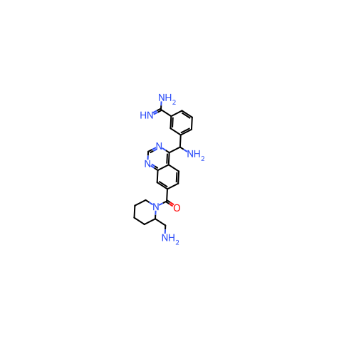 N=C(N)c1cccc(C(N)c2ncnc3cc(C(=O)N4CCCCC4CN)ccc23)c1